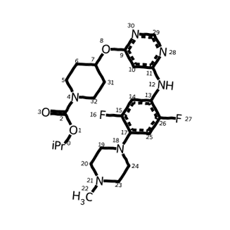 CC(C)OC(=O)N1CCC(Oc2cc(Nc3cc(F)c(N4CCN(C)CC4)cc3F)ncn2)CC1